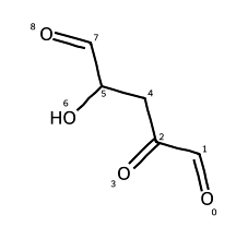 O=CC(=O)CC(O)C=O